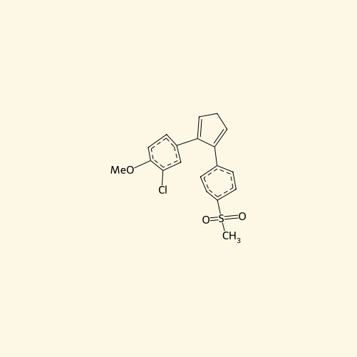 COc1ccc(C2=CCC=C2c2ccc(S(C)(=O)=O)cc2)cc1Cl